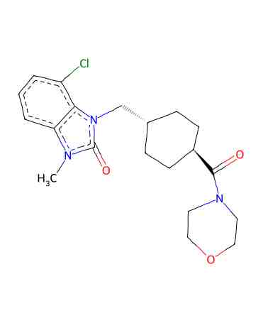 Cn1c(=O)n(C[C@H]2CC[C@H](C(=O)N3CCOCC3)CC2)c2c(Cl)cccc21